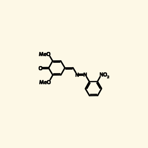 COC1=CC(=CN=Nc2ccccc2[N+](=O)[O-])C=C(OC)C1=O